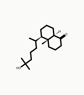 CC(CCCC(C)(C)O)[C@H]1CCC[C@H]2C(=O)CCC[C@]12C